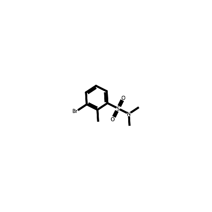 Cc1c(Br)cccc1S(=O)(=O)N(C)C